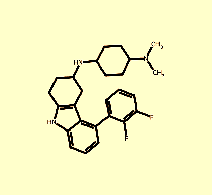 CN(C)C1CCC(NC2CCc3[nH]c4cccc(-c5cccc(F)c5F)c4c3C2)CC1